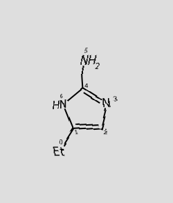 CCc1[c]nc(N)[nH]1